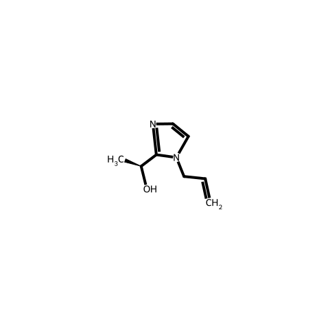 C=CCn1ccnc1[C@H](C)O